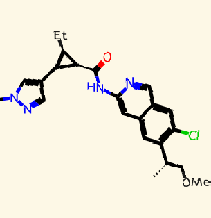 CC[C@@H]1C(c2cnn(C)c2)[C@@H]1C(=O)Nc1cc2cc([C@@H](C)COC)c(Cl)cc2cn1